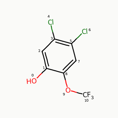 Oc1cc(Cl)c(Cl)cc1OC(F)(F)F